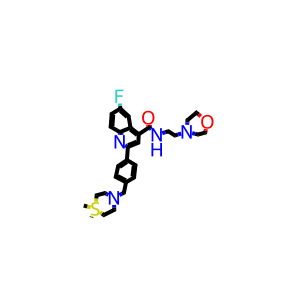 CS1(C)CCN(Cc2ccc(-c3cc(C(=O)NCCN4CCOCC4)c4cc(F)ccc4n3)cc2)CC1